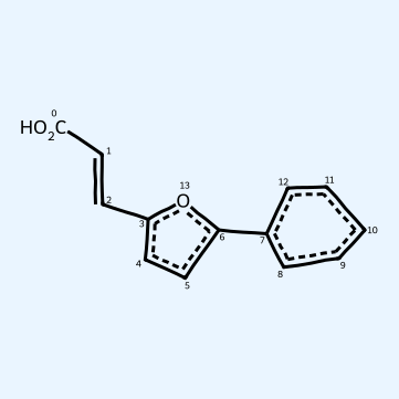 O=C(O)C=Cc1ccc(-c2ccccc2)o1